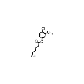 CC(=O)CCCCC(=O)Oc1ccc(Cl)c(C(F)(F)F)c1